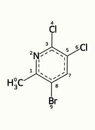 Cc1nc(Cl)c(Cl)cc1Br